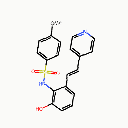 COc1ccc(S(=O)(=O)Nc2c(O)cccc2/C=C/c2ccncc2)cc1